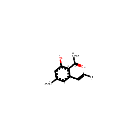 CC/C=C/c1cc(OC)cc(O)c1C(=O)OC